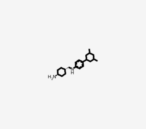 CC1CC(C)CC(c2ccc(NC[C@H]3CC[C@H](N)CC3)cc2)C1